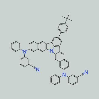 CC(C)(C)c1ccc(-c2cc3c4cc5ccc(N(c6ccccc6)c6cccc(C#N)c6)cc5cc4n4c5cc6cc(N(c7ccccc7)c7cccc(C#N)c7)ccc6cc5c(c2)c34)cc1